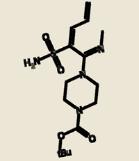 C=C/C=C(\C(=N/C)N1CCN(C(=O)OC(C)(C)C)CC1)S(N)(=O)=O